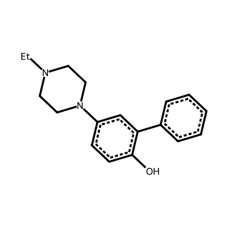 CCN1CCN(c2ccc(O)c(-c3ccccc3)c2)CC1